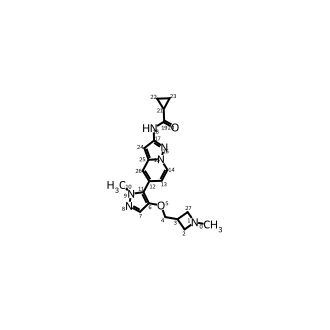 CN1CC(COc2cnn(C)c2-c2ccn3nc(NC(=O)C4CC4)cc3c2)C1